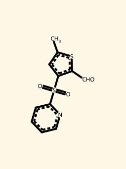 Cc1cc(S(=O)(=O)c2ccccn2)c(C=O)s1